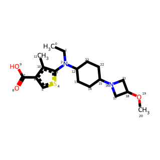 CCN(c1scc(C(=O)O)c1C)C1CCC(N2CC(OC)C2)CC1